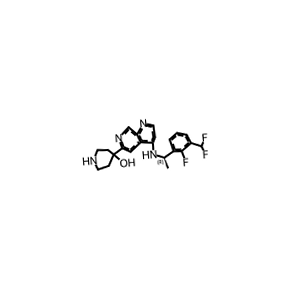 C[C@@H](Nc1ccnc2cnc(C3(O)CCNCC3)cc12)c1cccc(C(F)F)c1F